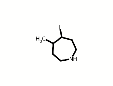 CC1CCNCCC1I